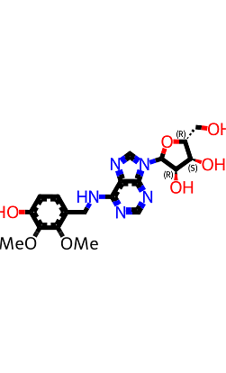 COc1c(O)ccc(CNc2ncnc3c2ncn3C2O[C@H](CO)[C@@H](O)[C@H]2O)c1OC